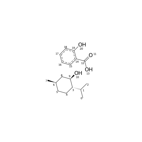 CC(C)[C@@H]1CC[C@@H](C)C[C@H]1O.O=C(O)c1ccccc1O